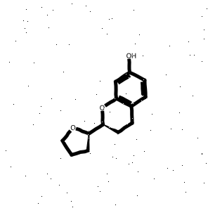 Oc1ccc2c(c1)O[C@H]([C@H]1CCCO1)CC2